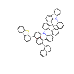 c1ccc(-c2cccc3ccccc23)c(-c2ccccc2N(c2ccc(-c3cccc4c3sc3ccccc34)cc2)c2cccc3c2-c2ccccc2C32c3ccccc3-n3c4ccccc4c4cccc2c43)c1